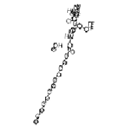 COCCOCCOCCOCCOCCOCCOCCOCCOCCOCCOCCOCCC(=O)N1CCC(CCNCc2cc(-c3cc(-c4cccc(C(F)(F)F)c4)ccc3Oc3cc(F)c(S(=O)(=O)Nc4nncs4)cc3Cl)ccn2)CC1.O=CO